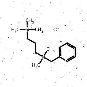 C[N+](C)(CCC[Si](C)(C)C)Cc1ccccc1.[Cl-]